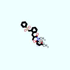 CC(=O)/C=C\C1(C)OCC(Cc2ccccc2CS(=O)(=O)c2ccccc2)C(=O)N1C